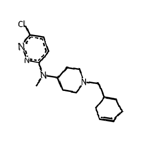 CN(c1ccc(Cl)nn1)C1CCN(CC2CC=CCC2)CC1